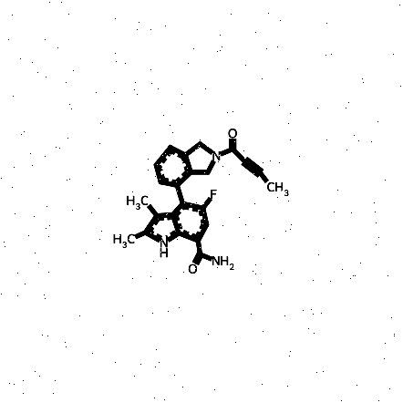 CC#CC(=O)N1Cc2cccc(-c3c(F)cc(C(N)=O)c4[nH]c(C)c(C)c34)c2C1